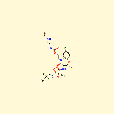 C[C@H]1Oc2ccc(F)cc2N(CCOC(=O)NCCNCS)C(=O)[C@H]1NC(=O)[C@@](C)(O)C(=O)NCC(F)(F)C(F)(F)F